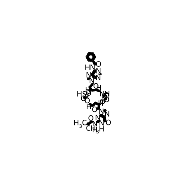 CC(C)C(=O)Nc1nc2c(ncn2[C@H]2O[C@@H]3CO[P@](=O)(S)O[C@H]4C[C@H](n5cnc6c(NC(=O)c7ccccc7)ncnc65)O[C@@H]4CNS(=O)(=O)O[C@@H]2C3)c(=O)[nH]1